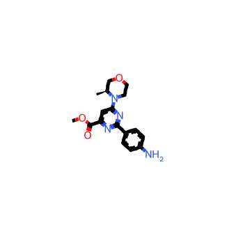 COC(=O)c1cc(N2CCOC[C@@H]2C)nc(-c2ccc(N)cc2)n1